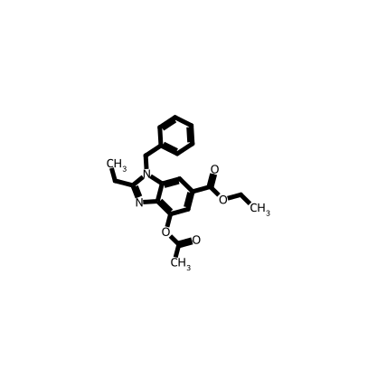 CCOC(=O)c1cc(OC(C)=O)c2nc(CC)n(Cc3ccccc3)c2c1